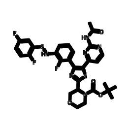 CC(=O)Nc1nccc(-c2sc(C3COCCN3C(=O)OC(C)(C)C)nc2-c2cccc(NSc3cc(F)ccc3F)c2F)n1